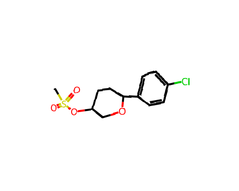 CS(=O)(=O)OC1CCC(c2ccc(Cl)cc2)OC1